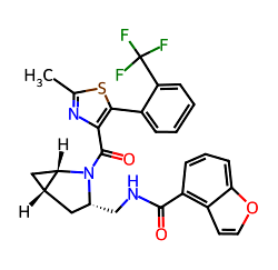 Cc1nc(C(=O)N2[C@H](CNC(=O)c3cccc4occc34)C[C@@H]3C[C@@H]32)c(-c2ccccc2C(F)(F)F)s1